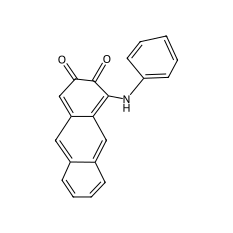 O=C1C=c2cc3ccccc3cc2=C(Nc2ccccc2)C1=O